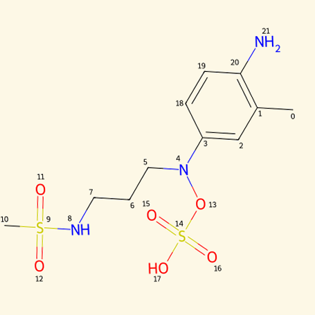 Cc1cc(N(CCCNS(C)(=O)=O)OS(=O)(=O)O)ccc1N